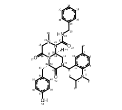 Cc1ccc(N(C)C(C)C)c(CN2C[C@H]3N(C(=O)CN(C)N3C(=O)NCc3ccccc3)[C@@H](Cc3ccc(O)cc3)C2=O)c1